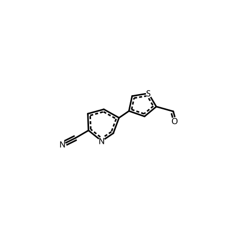 N#Cc1ccc(-c2csc(C=O)c2)cn1